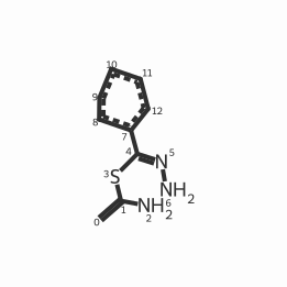 C=C(N)S/C(=N\N)c1ccccc1